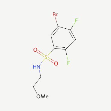 COCCNS(=O)(=O)c1cc(Br)c(F)cc1F